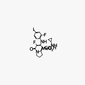 CONC1CC1.O=C(O)c1c(Nc2ccc(I)cc2F)c(F)c(=O)n2c1CCC2